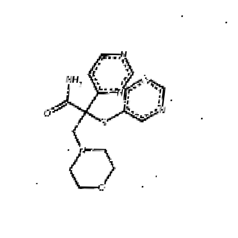 NC(=O)C(CN1CCOCC1)(Sc1cncnc1)c1ccncn1